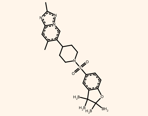 BC1(B)Oc2ccc(S(=O)(=O)N3CCC(c4cn5nc(C)nc5cc4C)CC3)cc2C1(B)B